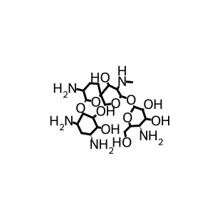 CNC1C(O[C@H]2OC(CO)[C@@H](N)C(O)C2O)OCC2(CCC(N)[C@@H](O[C@@H]3C(N)C[C@@H](N)C(O)C3O)O2)C1O